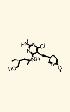 CC[C@@H](CO)CC(C)Nc1nc(NC)nc(Cl)c1C#CC1C=NC(OC)=CC1